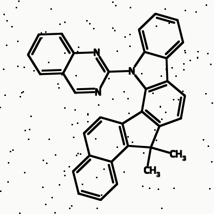 CC1(C)c2ccc3c4ccccc4n(-c4ncc5ccccc5n4)c3c2-c2ccc3ccccc3c21